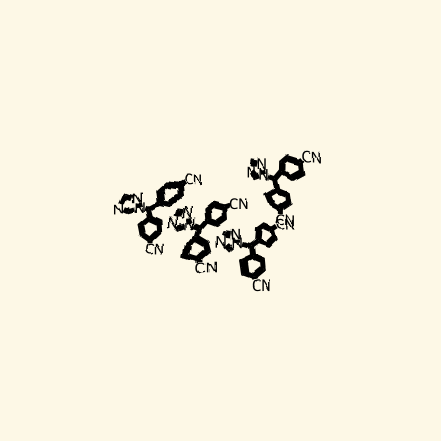 N#Cc1ccc(C(c2ccc(C#N)cc2)n2cncn2)cc1.N#Cc1ccc(C(c2ccc(C#N)cc2)n2cncn2)cc1.N#Cc1ccc(C(c2ccc(C#N)cc2)n2cncn2)cc1.N#Cc1ccc(C(c2ccc(C#N)cc2)n2cncn2)cc1